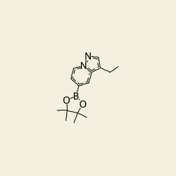 CCc1cnn2ccc(B3OC(C)(C)C(C)(C)O3)cc12